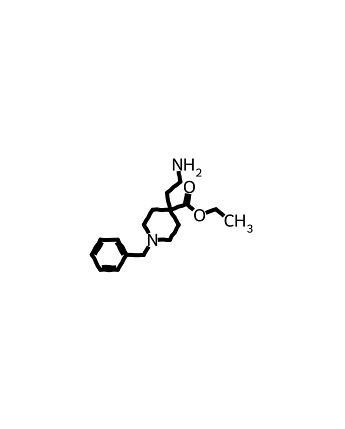 CCOC(=O)C1(CCN)CCN(Cc2ccccc2)CC1